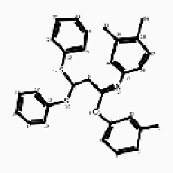 Cc1cccc(OC(CC(Sc2ccccc2)Sc2ccccc2)=Nc2ccc(C)c(C)c2)c1